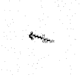 CCSCCNC(=O)NCCCCCCN1C(=O)C=CC1=O